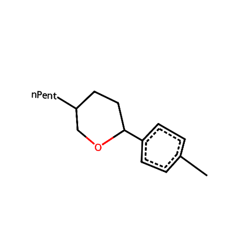 CCCCCC1CCC(c2ccc(C)cc2)OC1